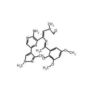 COc1cc(OC)c(Cl)c(/C(C)=N/C(=C\N(C)C=O)c2nc(-c3cn(C)nc3C)cnc2N)c1